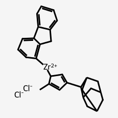 CC1=CC(C2C3CC4CC(C3)CC2C4)=C[CH]1[Zr+2][c]1cccc2c1Cc1ccccc1-2.[Cl-].[Cl-]